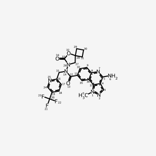 Cn1ncc2c(N)nc3ccc(C(=O)N(Cc4ccc(C(F)(F)F)cn4)N4CC5(CCC5)OC4=O)cc3c21